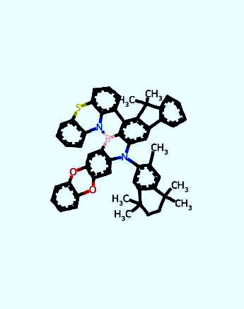 Cc1cc2c(cc1N1c3cc4c(cc3B3c5c1cc1c(c5-c5cccc6c5N3c3ccccc3S6)C(C)(C)c3ccccc3-1)Oc1ccccc1O4)C(C)(C)CCC2(C)C